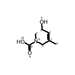 CC(=CCO)CN(C)C(=O)O